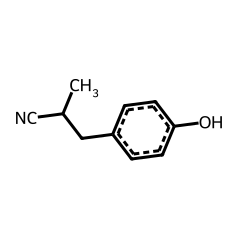 CC(C#N)Cc1ccc(O)cc1